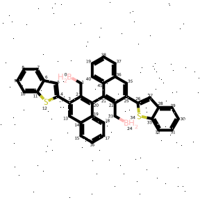 BCc1c(-c2cc3ccccc3s2)cc2ccccc2c1-c1c(CB)c(-c2cc3ccccc3s2)cc2ccccc12